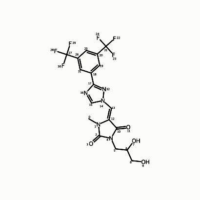 CN1C(=O)N(CC(O)CO)C(=O)C1=Cn1cnc(-c2cc(C(F)(F)F)cc(C(F)(F)F)c2)n1